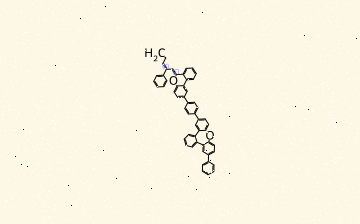 C=C/C=C(\C=C1/Oc2ccc(-c3ccc(-c4ccc5c(c4)-c4ccccc4-c4cc(-c6ccccc6)ccc4O5)cc3)cc2-c2ccccc21)c1ccccc1